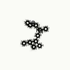 c1ccc(-c2cc(-c3ccc(-c4nc(-c5ccccc5)cc(-c5ccc6oc7c8ccccc8ccc7c6c5)n4)cc3)cc(-c3ccc(-c4ccccc4)cc3-c3ccccc3)c2)cc1